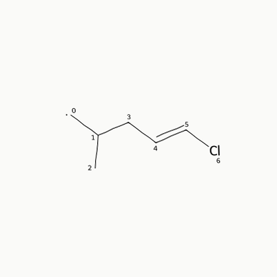 [CH2]C(C)CC=CCl